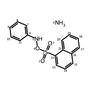 N.O=S(=O)(ONc1ccccc1)c1cccc2ccccc12